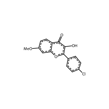 COc1ccc2c(=O)c(O)c(-c3ccc(Cl)cc3)oc2c1